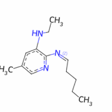 CCCC/C=N\c1ncc(C)cc1NCC